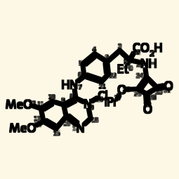 CC[C@@](Cc1ccc(NC2=c3cc(OC)c(OC)cc3=NCN2Cl)cc1)(Nc1c(OC(C)C)c(=O)c1=O)C(=O)O